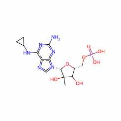 CC1(O)C(O)[C@@H](COP(=O)(O)O)O[C@H]1n1cnc2c(NC3CC3)nc(N)nc21